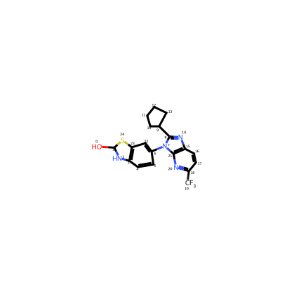 OC1Nc2ccc(-n3c(C4CCCC4)nc4ccc(C(F)(F)F)nc43)cc2S1